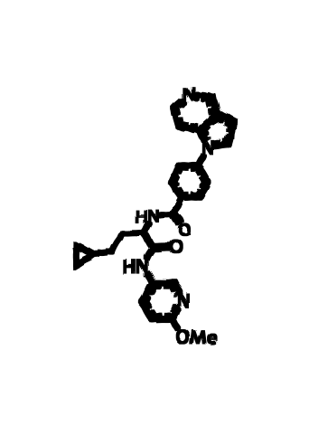 COc1ccc(NC(=O)C(CCC2CC2)NC(=O)c2ccc(-n3ccc4cnccc43)cc2)cn1